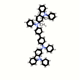 CC1(N(C2=CC=C(C3=CC=C(N(C4=CCC5C(=C4)N(C4C=CC=CC4)C4=C5CCC=C4)C4CC=CCC4)CC3)CC2)c2ccccc2)C=CC2c3ccccc3N(c3ccccc3)C2(C)C1